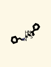 C(/Cc1ccccc1)=N/Nc1nc(-c2ccccc2)cs1